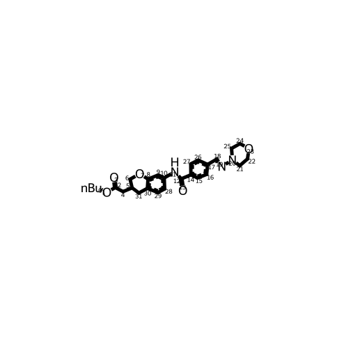 CCCCOC(=O)CC1COc2cc(NC(=O)c3ccc(/C=N/N4CCOCC4)cc3)ccc2C1